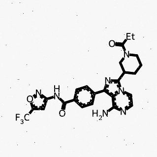 CCC(=O)N1CCCC(c2nc(-c3ccc(C(=O)Nc4cc(C(F)(F)F)on4)cc3)c3c(N)nccn23)C1